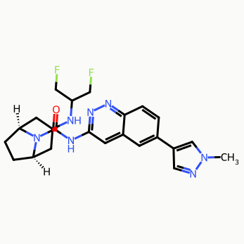 Cn1cc(-c2ccc3nnc(NC(=O)N4[C@@H]5CC[C@H]4CC(NC(CF)CF)C5)cc3c2)cn1